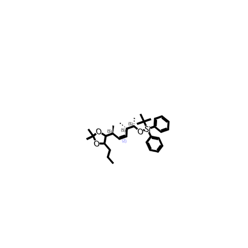 CCCC1OC(C)(C)OC1[C@@H](C)/C=C\[C@H](C)[C@H](C)O[Si](c1ccccc1)(c1ccccc1)C(C)(C)C